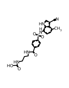 Cc1ccc(NS(=O)(=O)c2ccc(C(=O)NCCCNC(=O)O)cc2)c2[nH]cc(C#N)c12